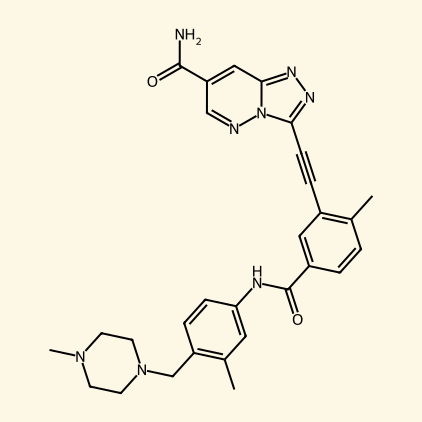 Cc1ccc(C(=O)Nc2ccc(CN3CCN(C)CC3)c(C)c2)cc1C#Cc1nnc2cc(C(N)=O)cnn12